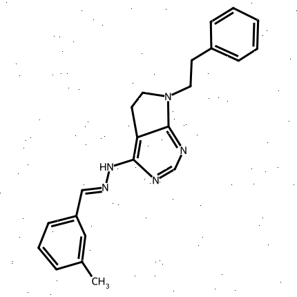 Cc1cccc(C=NNc2ncnc3c2CCN3CCc2ccccc2)c1